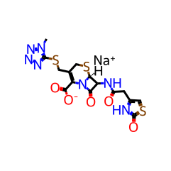 Cn1nnnc1SCC1=C(C(=O)[O-])N2C(=O)C(NC(=O)Cc3csc(=O)[nH]3)[C@@H]2SC1.[Na+]